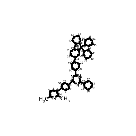 Cc1ccc(-c2ccc(-c3nc(-c4ccccc4)nc(-c4ccc(-c5ccc6c(c5)C(c5ccccc5)(c5ccccc5)c5ccccc5-6)cc4)n3)cc2)c(C)n1